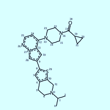 CC(C)N1CCc2cc(-c3cc4c(N5CCN(C(=O)C6CC6)CC5)ccnn4c3)sc2C1